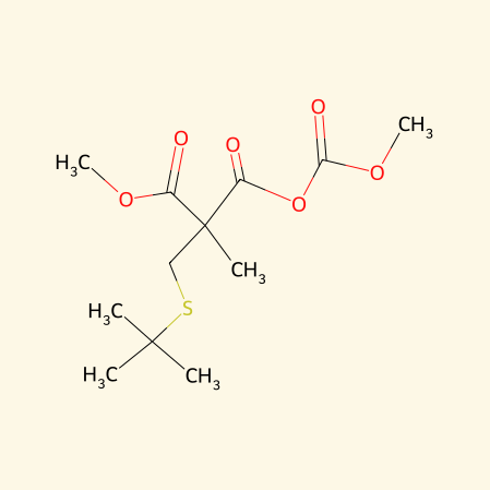 COC(=O)OC(=O)C(C)(CSC(C)(C)C)C(=O)OC